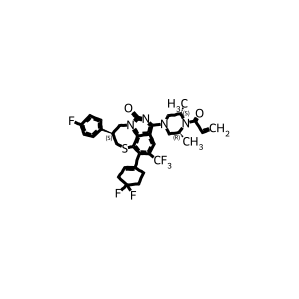 C=CC(=O)N1[C@H](C)CN(c2nc(=O)n3c4c(c(C5=CCC(F)(F)CC5)c(C(F)(F)F)cc24)SC[C@@H](c2ccc(F)cc2)C3)C[C@@H]1C